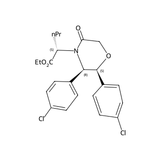 CCC[C@@H](C(=O)OCC)N1C(=O)CO[C@@H](c2ccc(Cl)cc2)[C@H]1c1ccc(Cl)cc1